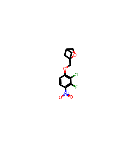 O=[N+]([O-])c1ccc(OCC23CC(CO2)C3)c(Cl)c1F